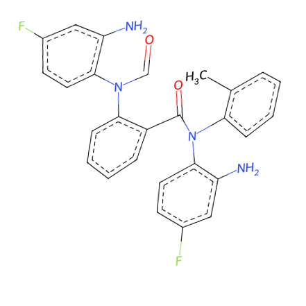 Cc1ccccc1N(C(=O)c1ccccc1N(C=O)c1ccc(F)cc1N)c1ccc(F)cc1N